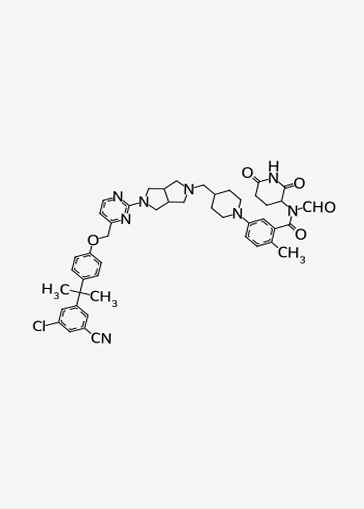 Cc1ccc(N2CCC(CN3CC4CN(c5nccc(COc6ccc(C(C)(C)c7cc(Cl)cc(C#N)c7)cc6)n5)CC4C3)CC2)cc1C(=O)N(C=O)C1CCC(=O)NC1=O